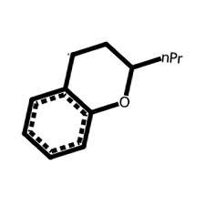 CCCC1C[CH]c2ccccc2O1